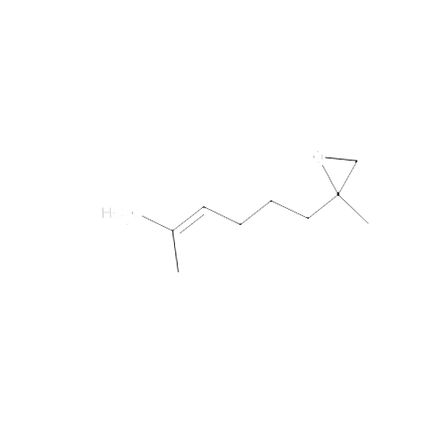 CC(=CCCCC1(C)CO1)C(=O)O